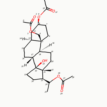 CC(=O)OC[C@]12CC[C@H](OC(C)=O)C[C@@H]1CC[C@@H]1[C@@H]2CC[C@]2(C)[C@@H](C(C)OC(C)=O)CC[C@]12O